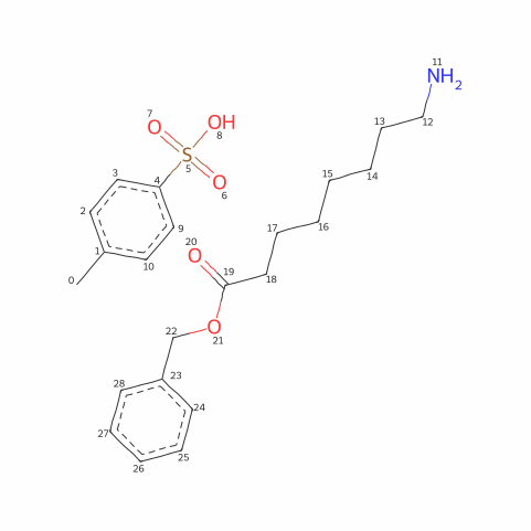 Cc1ccc(S(=O)(=O)O)cc1.NCCCCCCCC(=O)OCc1ccccc1